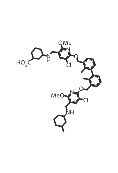 COc1nc(OCc2cccc(-c3cccc(COc4nc(OC)c(CNC5CCCC(C(=O)O)C5)cc4Cl)c3C)c2C)c(Cl)cc1CNC1CCCC(C)C1